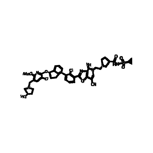 COc1nc(O[C@H]2CCc3c(-c4cccc(-c5nc6c(=N)n(CCN7CC[C@@H](C(=O)NS(=O)(=O)C8CC8)C7)cc(C#N)c6o5)c4Cl)cccc32)c(Cl)cc1CN1CC[C@@H](O)C1